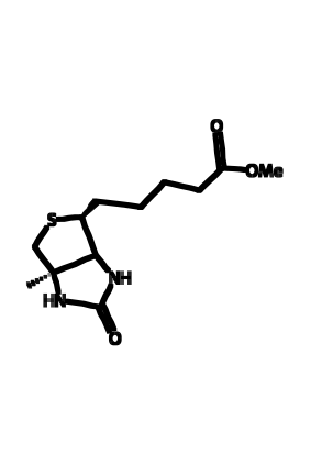 COC(=O)CCCC[C@@H]1SC[C@]2(C)NC(=O)NC12